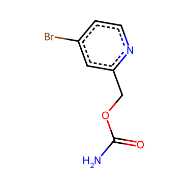 NC(=O)OCc1cc(Br)ccn1